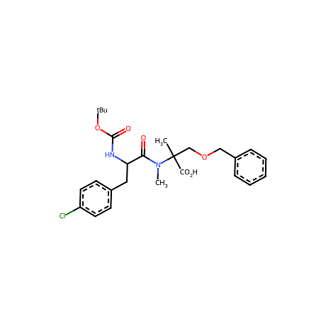 CN(C(=O)C(Cc1ccc(Cl)cc1)NC(=O)OC(C)(C)C)C(C)(COCc1ccccc1)C(=O)O